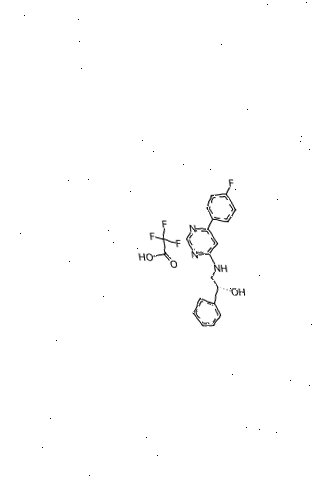 O=C(O)C(F)(F)F.O[C@@H](CNc1cc(-c2ccc(F)cc2)ncn1)c1ccccc1